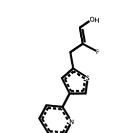 O/C=C(\F)Cc1cc(-c2ccccn2)cs1